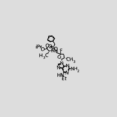 CCNc1nc(N)nc2c1ncn2[C@@H]1O[C@](F)(COP(=O)(Cc2ccccc2)N[C@@H](C)C(=O)OC(C)C)C[C@@H]1C